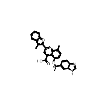 Cc1c(-c2cc(C(=O)O)c3c(O[C@H](C)C4=CC5NC=NC5C=C4)ccc(C)c3n2)oc2ccccc12